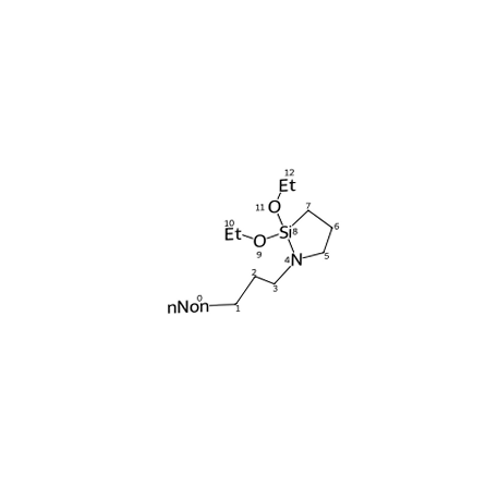 CCCCCCCCCCCCN1CCC[Si]1(OCC)OCC